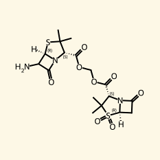 CC1(C)S[C@@H]2C(N)C(=O)N2[C@H]1C(=O)OCOC(=O)[C@@H]1N2C(=O)C[C@H]2S(=O)(=O)C1(C)C